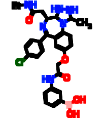 CCNC(=O)C[C@@H]1N=C(c2ccc(Cl)cc2)c2cc(OCC(=O)Nc3cccc(B(O)O)c3)ccc2N2C(C)NNC12